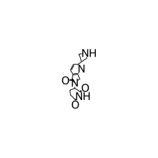 O=C1CCC(N2Cc3nc(C4CNC4)ccc3C2=O)C(=O)N1